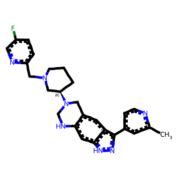 Cc1cc(-c2n[nH]c3cc4c(cc23)CN([C@@H]2CCCN(Cc3ccc(F)cn3)C2)CN4)ccn1